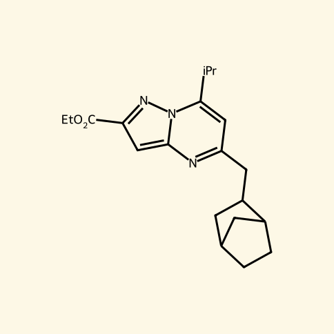 CCOC(=O)c1cc2nc(CC3CC4CCC3C4)cc(C(C)C)n2n1